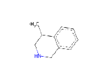 [CH2]C1CNCc2ccccc21